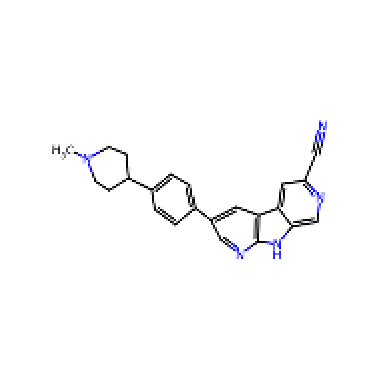 CN1CCC(c2ccc(-c3cnc4[nH]c5cnc(C#N)cc5c4c3)cc2)CC1